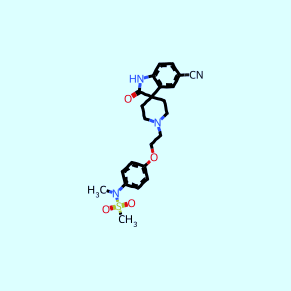 CN(c1ccc(OCCN2CCC3(CC2)C(=O)Nc2ccc(C#N)cc23)cc1)S(C)(=O)=O